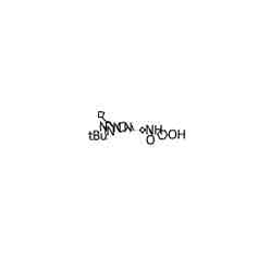 CC(C)(C)c1nc(C2CCC2)cc(N2CCN(CC[C@H]3C[C@@H](NC(=O)[C@H]4CC[C@@H](O)CC4)C3)CC2)n1